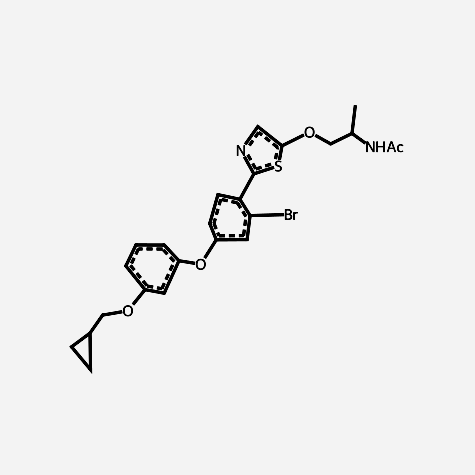 CC(=O)NC(C)COc1cnc(-c2ccc(Oc3cccc(OCC4CC4)c3)cc2Br)s1